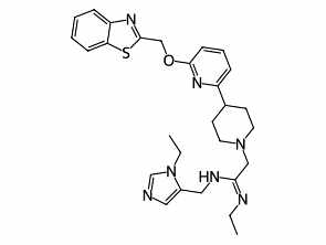 CC/N=C(/CN1CCC(c2cccc(OCc3nc4ccccc4s3)n2)CC1)NCc1cncn1CC